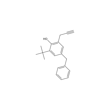 C#CCc1cc(Cc2ccccc2)cc(C(C)(C)C)c1O